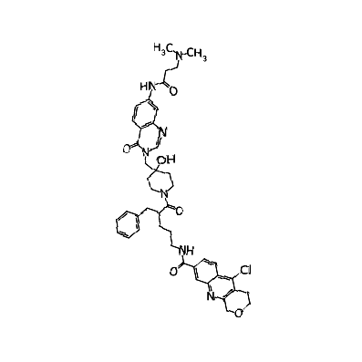 CN(C)CCC(=O)Nc1ccc2c(=O)n(CC3(O)CCN(C(=O)C(CCCNC(=O)c4ccc5c(Cl)c6c(nc5c4)COCC6)Cc4ccccc4)CC3)cnc2c1